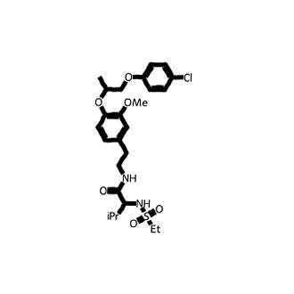 CCS(=O)(=O)NC(C(=O)NCCc1ccc(OC(C)COc2ccc(Cl)cc2)c(OC)c1)C(C)C